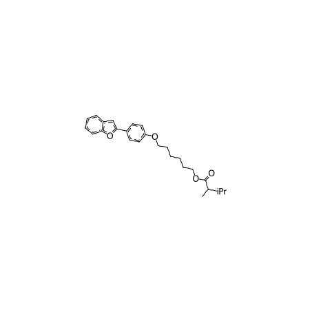 CC(C)C(C)C(=O)OCCCCCCOc1ccc(-c2cc3ccccc3o2)cc1